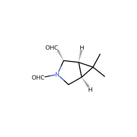 CC1(C)[C@@H]2[C@@H](C=O)N(C=O)C[C@@H]21